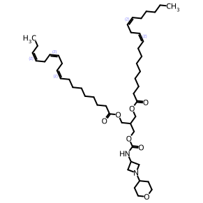 CC/C=C\C/C=C\C/C=C\CCCCCCCC(=O)OCC(COC(=O)CCCCCCC/C=C\C/C=C\CCCCC)COC(=O)NC1CN(C2CCOCC2)C1